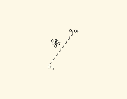 CCCCCCCCCCCCCCCCCC(=O)O.O=S(=O)([O-])[O-].[Cu+2]